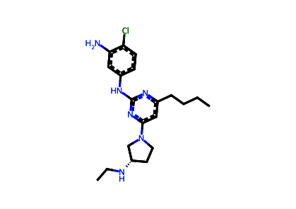 CCCCc1cc(N2CC[C@H](NCC)C2)nc(Nc2ccc(Cl)c(N)c2)n1